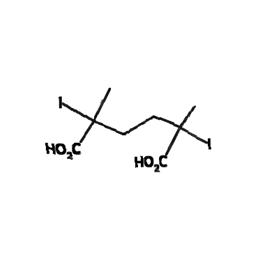 CC(I)(CCC(C)(I)C(=O)O)C(=O)O